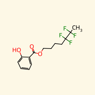 CC(F)(F)C(F)(F)CCCCOC(=O)c1ccccc1O